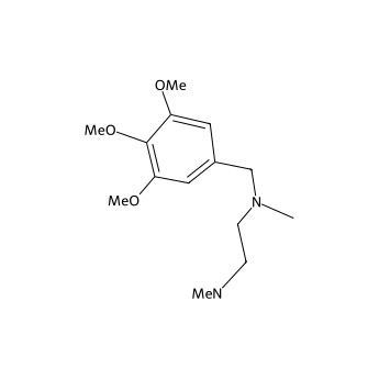 CNCCN(C)Cc1cc(OC)c(OC)c(OC)c1